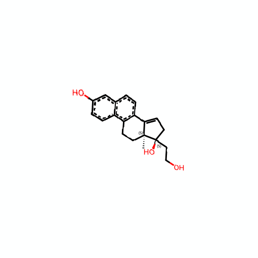 C[C@]12CCc3c(ccc4cc(O)ccc34)C1=CC[C@]2(O)CCO